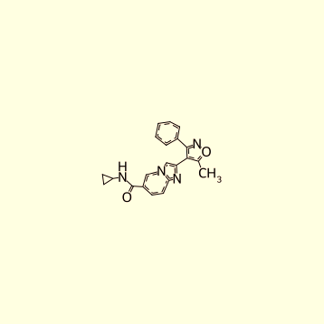 Cc1onc(-c2ccccc2)c1-c1cn2cc(C(=O)NC3CC3)ccc2n1